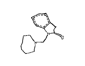 O=C1Cc2ccccc2N1CN1CCCCC1